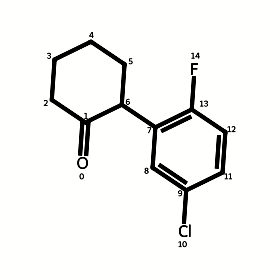 O=C1CCCCC1c1cc(Cl)ccc1F